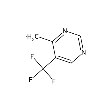 [CH2]c1ncncc1C(F)(F)F